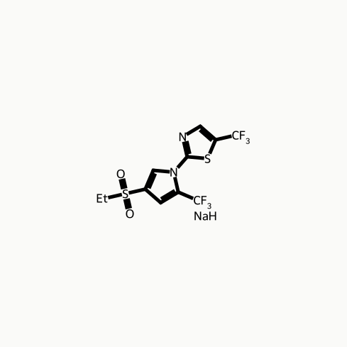 CCS(=O)(=O)c1cc(C(F)(F)F)n(-c2ncc(C(F)(F)F)s2)c1.[NaH]